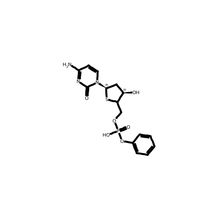 Nc1ccn([C@H]2C[C@@H](O)C(COP(=O)(O)Oc3ccccc3)S2)c(=O)n1